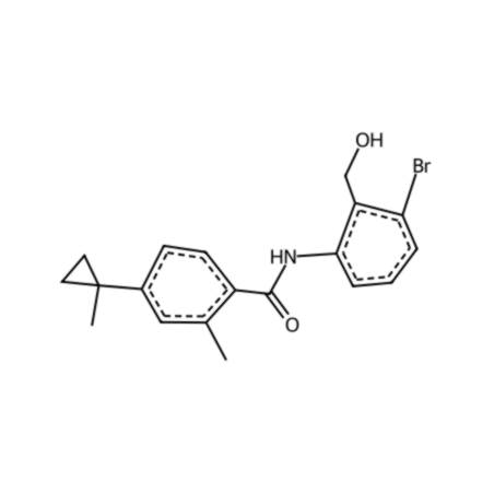 Cc1cc(C2(C)CC2)ccc1C(=O)Nc1cccc(Br)c1CO